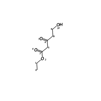 CCOC(=O)CC(=O)CCO